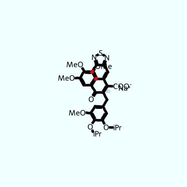 COc1cc(C(=O)/C(Cc2cc(OC)c(OC(C)C)c(OC(C)C)c2)=C(/C(=O)[O-])c2ccc3nsnc3c2)cc(OC)c1OC.[Na+]